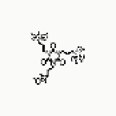 CO[Si](C)(C)CCCn1c(=O)n(CCC[Si](C)(OC)OC)c(=O)n(CCC[Si](OC)(OC)OC)c1=O